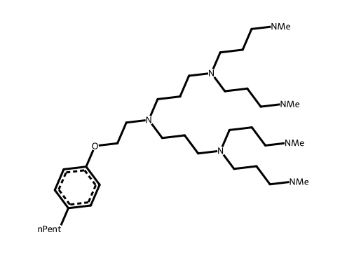 CCCCCc1ccc(OCCN(CCCN(CCCNC)CCCNC)CCCN(CCCNC)CCCNC)cc1